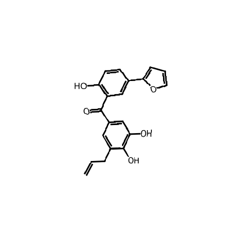 C=CCc1cc(C(=O)c2cc(-c3ccco3)ccc2O)cc(O)c1O